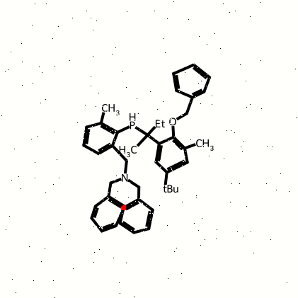 CCC(C)(Pc1c(C)cccc1CN(Cc1ccccc1)Cc1ccccc1)c1cc(C(C)(C)C)cc(C)c1OCc1ccccc1